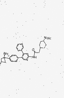 CC(=O)NC1CCC(CC(=O)Nc2cc(-c3ccccc3)c(-c3ccc([C@]4(N)C[C@@H](F)C4)cc3)cn2)CC1